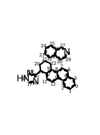 c1ccc2c(c1)ccc1c3c(ccc12)C(c1nc[nH]n1)CCC3.c1ccc2cnccc2c1